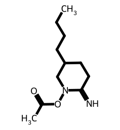 CCCCC1CCC(=N)N(OC(C)=O)C1